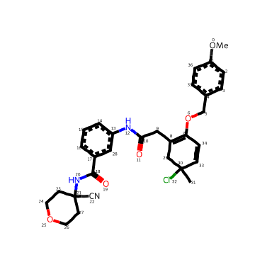 COc1ccc(COC2=C(CC(=O)Nc3cccc(C(=O)NC4(C#N)CCOCC4)c3)CC(C)(Cl)C=C2)cc1